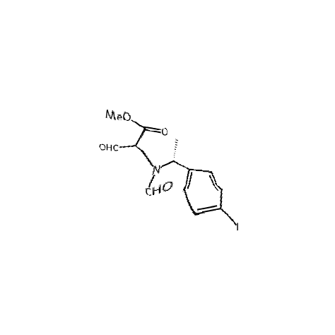 COC(=O)C(C=O)N(C=O)[C@H](C)c1ccc(I)cc1